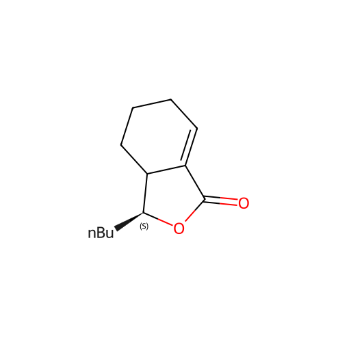 CCCC[C@@H]1OC(=O)C2=CCCCC21